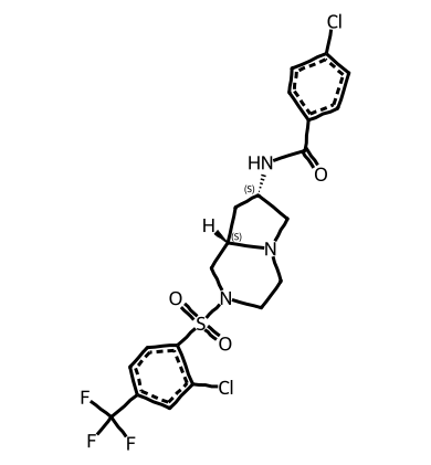 O=C(N[C@H]1C[C@H]2CN(S(=O)(=O)c3ccc(C(F)(F)F)cc3Cl)CCN2C1)c1ccc(Cl)cc1